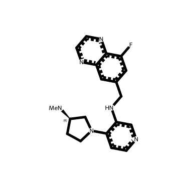 CN[C@@H]1CCN(c2ccncc2NCc2cc(F)c3nccnc3c2)C1